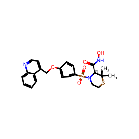 CC1(C)SCCN(S(=O)(=O)c2ccc(OCc3ccnc4ccccc34)cc2)[C@H]1C(=O)NO